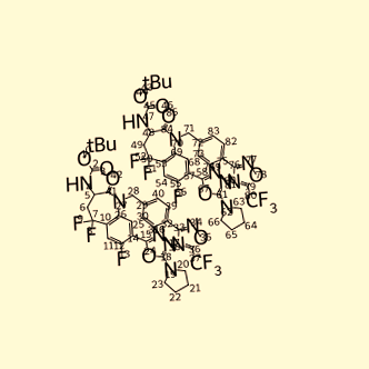 CC(C)(C)OC(=O)NC1CC(F)(F)c2cc(F)c(-c3nnc(N4CCCC4)o3)cc2N(Cc2ccc(-c3noc(C(F)(F)F)n3)cc2)C1=O.CC(C)(C)OC(=O)N[C@@H]1CC(F)(F)c2cc(F)c(-c3nnc(N4CCCC4)o3)cc2N(Cc2ccc(-c3noc(C(F)(F)F)n3)cc2)C1=O